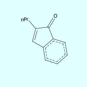 CCCC1=Cc2ccccc2C1=O